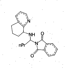 CCCC(NC1CCCc2cccnc21)N1C(=O)c2ccccc2C1=O